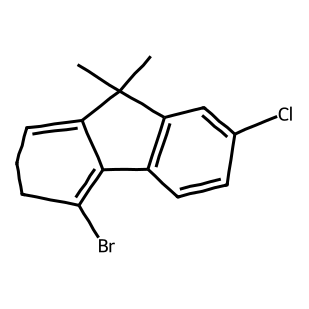 CC1(C)C2=CCCC(Br)=C2c2ccc(Cl)cc21